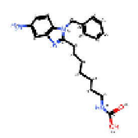 Nc1ccc2c(c1)nc(CCCCCCCNC(=O)O)n2Cc1ccccc1